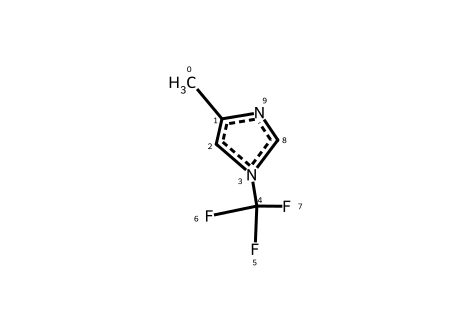 Cc1cn(C(F)(F)F)cn1